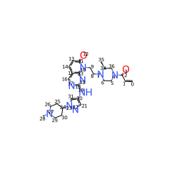 C=CC(=O)N1CCN(CCn2c(=O)ccc3cnc(Nc4cnn(C5CCN(C)CC5)c4)nc32)[C@@H](C)C1